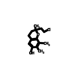 Cc1c(O)cc2c(c1C)OC(C)(CCCl)CC2